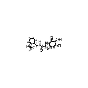 O=C(NCc1ccccc1C(F)(F)F)c1nc2c(Cl)c(O)c(Cl)cc2s1